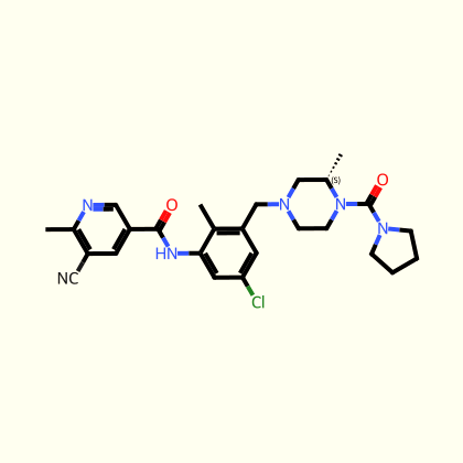 Cc1ncc(C(=O)Nc2cc(Cl)cc(CN3CCN(C(=O)N4CCCC4)[C@@H](C)C3)c2C)cc1C#N